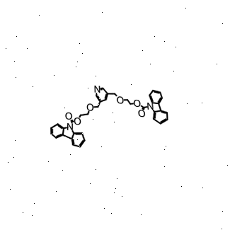 O=C(OCCOCc1cncc(COCCOC(=O)n2c3ccccc3c3ccccc32)c1)n1c2ccccc2c2ccccc21